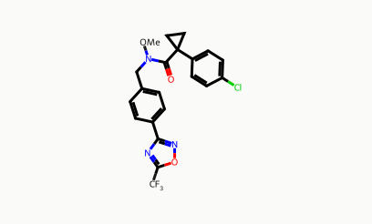 CON(Cc1ccc(-c2noc(C(F)(F)F)n2)cc1)C(=O)C1(c2ccc(Cl)cc2)CC1